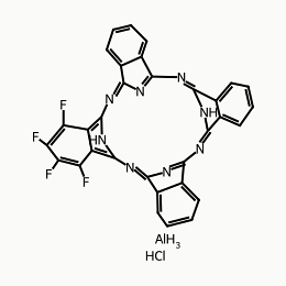 Cl.Fc1c(F)c(F)c2c3nc4nc(nc5[nH]c(nc6nc(nc([nH]3)c2c1F)-c1ccccc1-6)c1ccccc51)-c1ccccc1-4.[AlH3]